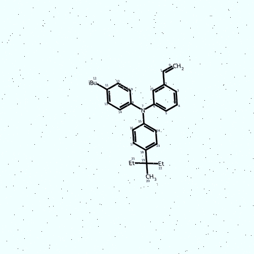 C=Cc1cccc(N(c2ccc(C(C)CC)cc2)c2ccc(C(C)(CC)CC)cc2)c1